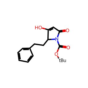 CC(C)(C)OC(=O)N1C(=O)C=C(O)C1CCc1ccccc1